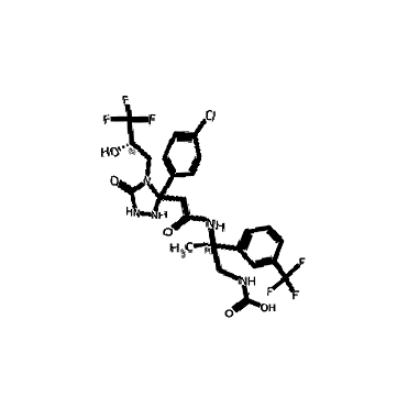 C[C@@](CNC(=O)O)(NC(=O)CC1(c2ccc(Cl)cc2)NNC(=O)N1C[C@H](O)C(F)(F)F)c1cccc(C(F)(F)F)c1